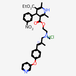 CCOC(=O)C1=C(C)NC(C)=C(C(=O)OCCN(C)C/C(C)=C/c2ccc(Oc3cccnc3)cc2)C1c1cccc([N+](=O)[O-])c1.Cl